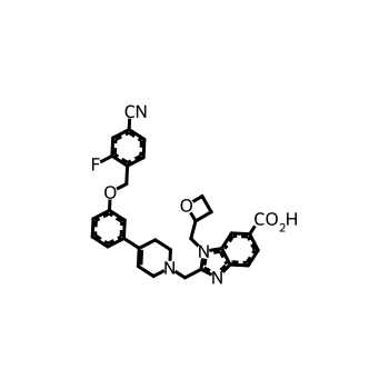 N#Cc1ccc(COc2cccc(C3=CCN(Cc4nc5ccc(C(=O)O)cc5n4CC4CCO4)CC3)c2)c(F)c1